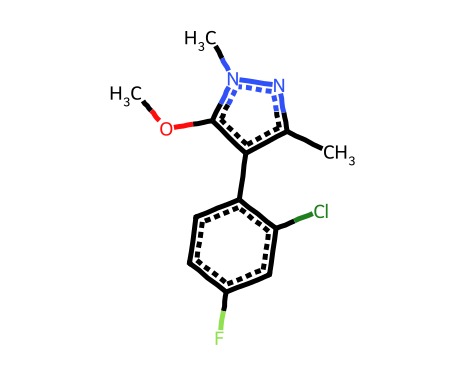 COc1c(-c2ccc(F)cc2Cl)c(C)nn1C